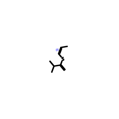 C=C(S/C=C\C)C(C)C